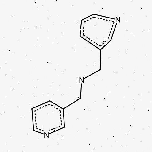 c1cncc(C[N]Cc2cccnc2)c1